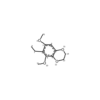 CCc1c(OC)cc2c(c1OC)OCCO2